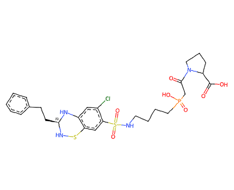 O=C(O)C1CCCN1C(=O)CP(=O)(O)CCCCNS(=O)(=O)c1cc2c(cc1Cl)N[C@H](CCc1ccccc1)NS2